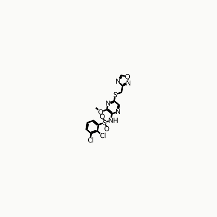 COc1nc(SCc2ncon2)cnc1NS(=O)(=O)c1cccc(Cl)c1Cl